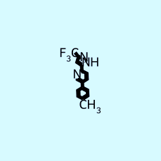 Cc1ccc(-c2ccc(-c3cc(C(F)(F)F)n[nH]3)nc2)cc1